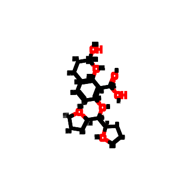 O=C(O)c1c(OC(C2CCCO2)C2CCCO2)ccc2c1OB(O)CC2